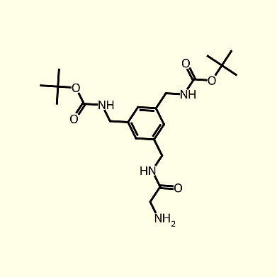 CC(C)(C)OC(=O)NCc1cc(CNC(=O)CN)cc(CNC(=O)OC(C)(C)C)c1